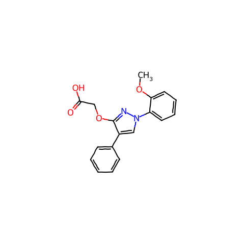 COc1ccccc1-n1cc(-c2ccccc2)c(OCC(=O)O)n1